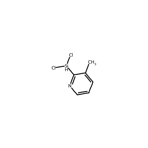 Cc1cccnc1[SiH](Cl)Cl